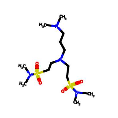 CN(C)CCCN(CCS(=O)(=O)N(C)C)CCS(=O)(=O)N(C)C